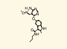 CCCNC(=O)c1c(C)[nH]c2ccc(Oc3ncnc(N)c3C=NOC)cc12